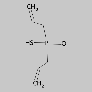 C=CCP(=O)(S)CC=C